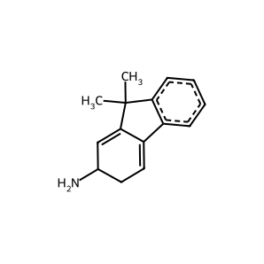 CC1(C)C2=CC(N)CC=C2c2ccccc21